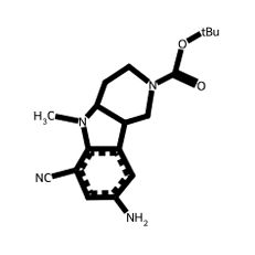 CN1c2c(C#N)cc(N)cc2C2CN(C(=O)OC(C)(C)C)CCC21